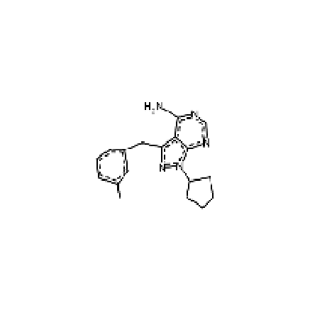 Cc1cccc(Cc2nn(C3CCCC3)c3ncnc(N)c23)c1